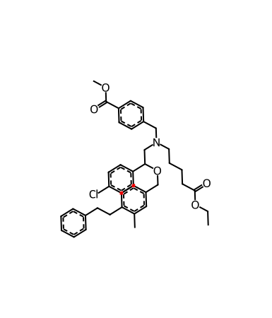 CCOC(=O)CCCCN(Cc1ccc(C(=O)OC)cc1)CC(OCc1ccc(CCc2ccccc2)c(C)c1)c1ccc(Cl)cc1